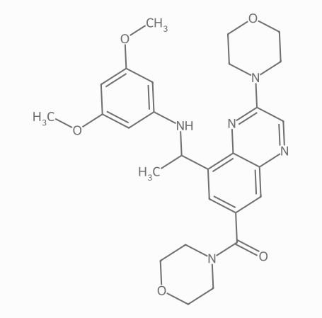 COc1cc(NC(C)c2cc(C(=O)N3CCOCC3)cc3ncc(N4CCOCC4)nc23)cc(OC)c1